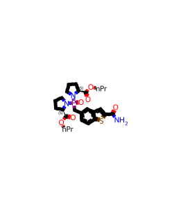 CCCOC(=O)[C@@H]1CCCN1P(=O)(Cc1ccc2sc(C(N)=O)cc2c1)N1CCC[C@H]1C(=O)OCCC